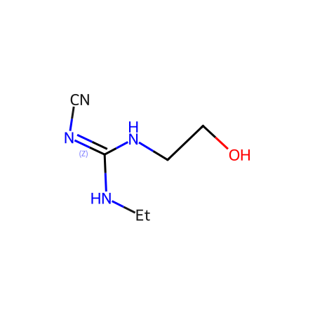 CCN/C(=N/C#N)NCCO